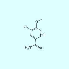 COc1ccc(C(=N)N)cc1Cl.Cl